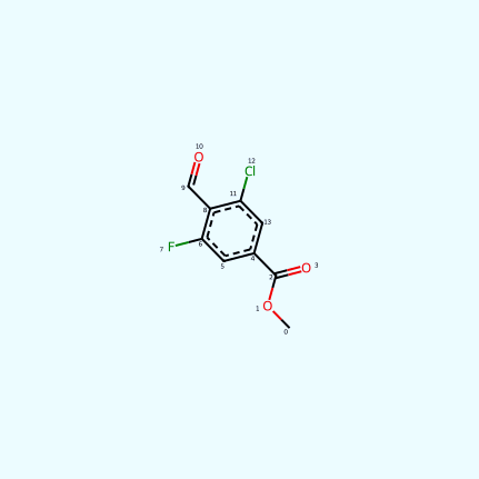 COC(=O)c1cc(F)c(C=O)c(Cl)c1